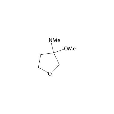 CNC1(OC)CCOC1